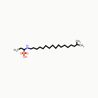 CCC(NCCCCCCCCCCCCCCCC(C)C)S(=O)(=O)O